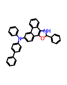 c1ccc(-c2ccc(N(c3ccccc3)c3ccc4c5c(c6ccccc6c4c3)NC(c3ccccc3)O5)cc2)cc1